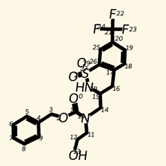 O=C(OCc1ccccc1)N(CCO)CC1Cc2ccc(C(F)(F)F)cc2S(=O)(=O)N1